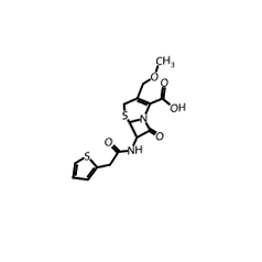 COCC1=C(C(=O)O)N2C(=O)C(NC(=O)Cc3cccs3)C2SC1